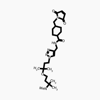 CNC(C)(C)CCOC(C)(C)CCn1cc(CNC(=O)C2CCC(CN3C(=O)C=CC3=O)CC2)nn1